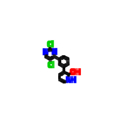 OC1NC=CC=C1c1cccc(-c2nc(Cl)ncc2Cl)c1